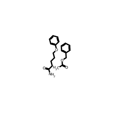 CC(=O)OCc1ccccc1.NC(=O)CCCCOc1ccccc1